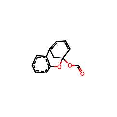 O=COC12C=CC=C(C1)c1ccccc1O2